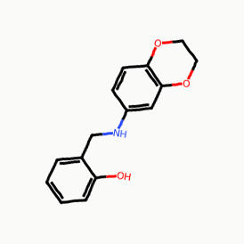 Oc1ccccc1CNc1ccc2c(c1)OCCO2